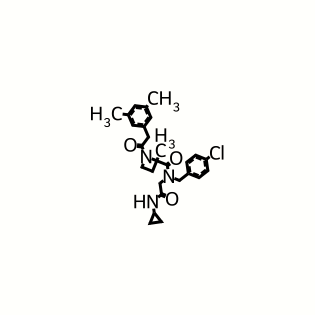 Cc1cc(C)cc(CC(=O)N2CCC2(C)C(=O)N(CC(=O)NC2CC2)Cc2ccc(Cl)cc2)c1